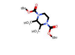 CC(C)(C)OC(=O)N1CCN(C(=O)OC(C)(C)C)C(C(=O)O)C1C(=O)O